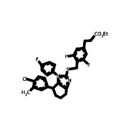 CCOC(=O)CCc1cc(F)c(CSc2nc3c(n2-c2ccc(F)cc2)C(c2ccc(Cl)c(C)c2)CCC3)c(F)c1